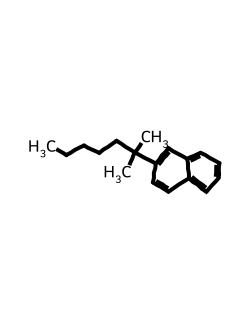 CCCCCC(C)(C)c1ccc2ccccc2c1